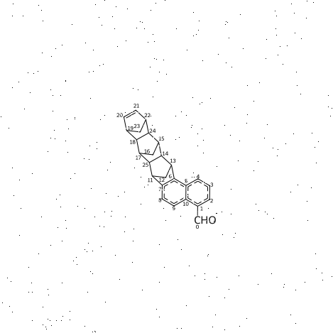 O=Cc1cccc2c3c(ccc12)C1CC3C2C3CC(C4C5C=CC(C5)C34)C12